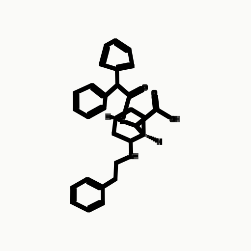 O=C(O)C1[C@H]2CC[C@H](CC2NCCc2ccccc2)N1C(=O)C(c1ccccc1)c1ccccc1